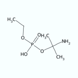 CCOP(=O)(O)OC(C)(C)N